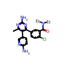 CCN(CC)C(=O)c1cc(-c2nc(N)nc(C)c2-c2ccc(N)nc2)ccc1Cl